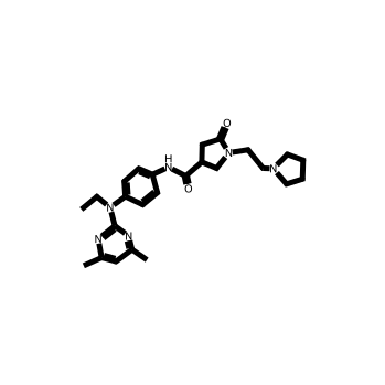 CCN(c1ccc(NC(=O)C2CC(=O)N(CCN3CCCC3)C2)cc1)c1nc(C)cc(C)n1